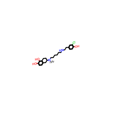 CCCN(CCCCCCNCCc1ccc(O)c(Cl)c1)C1CCc2c(ccc(O)c2O)C1